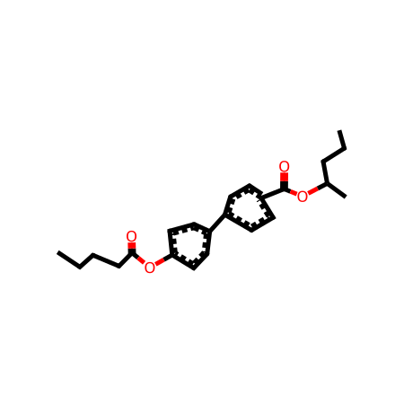 CCCCC(=O)Oc1ccc(-c2ccc(C(=O)OC(C)CCC)cc2)cc1